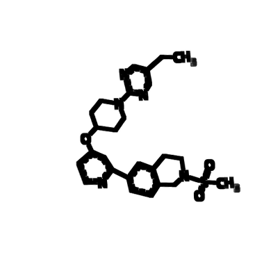 CCc1cnc(N2CCC(Oc3ccnc(-c4ccc5c(c4)CCN(S(C)(=O)=O)C5)c3)CC2)nc1